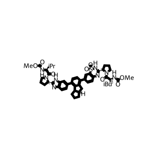 CC[C@H](C)[C@H](NC(=O)OC)C(=O)N1CCC[C@H]1C1=Nc2ccc(-c3ccc(-c4ccc5nc([C@@H]6CCCN6C(=O)[C@@H](NC(=O)OC)C(C)C)[nH]c5c4)c4c3C[C@H]3CCCC43)cc2S(=O)(=O)N1